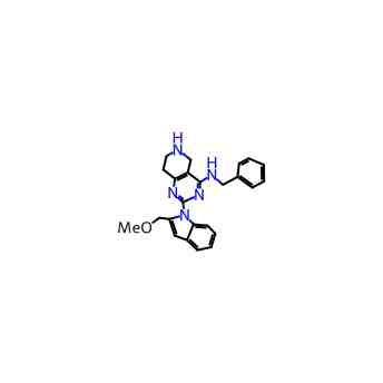 COCc1cc2ccccc2n1-c1nc2c(c(NCc3ccccc3)n1)CNCC2